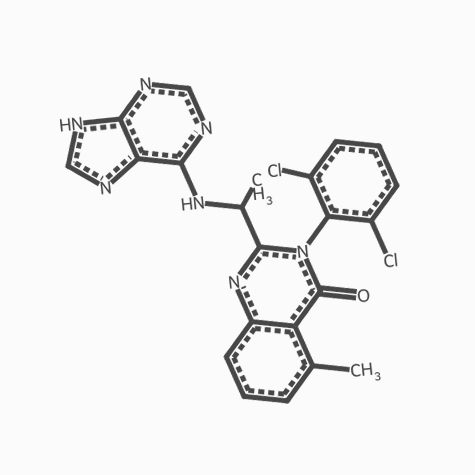 Cc1cccc2nc(C(C)Nc3ncnc4[nH]cnc34)n(-c3c(Cl)cccc3Cl)c(=O)c12